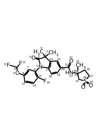 CC1(C)C(=O)N(c2cc(OC(F)F)ccc2F)c2ccc(C(=O)N[C@]3(C)CCS(=O)(=O)C3)cc21